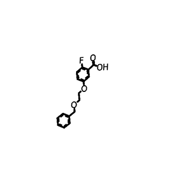 O=C(O)c1cc(OCCOCc2ccccc2)ccc1F